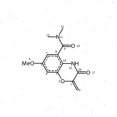 C=C1Oc2cc(OC)cc(C(=O)N(C)C)c2NC1=O